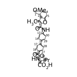 COCc1cccc2oc(C(=O)Nc3ccc(-c4ccc(S(=O)(=O)N[C@H](C(=O)O)C(C)C)cc4)cc3)c(C)c12